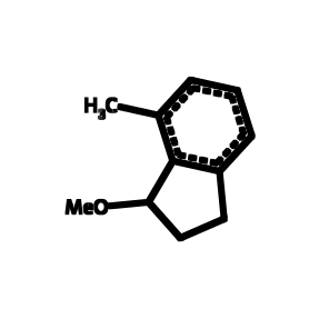 COC1CCc2cccc(C)c21